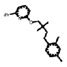 Cc1ccc(CCC(C)(C)COc2cccc(C(C)C)n2)c(C)c1